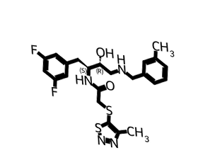 Cc1cccc(CNC[C@@H](O)[C@H](Cc2cc(F)cc(F)c2)NC(=O)CSc2snnc2C)c1